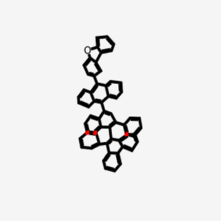 c1ccc(-c2cc(-c3c4ccccc4c(-c4ccc5oc6ccccc6c5c4)c4ccccc34)c3ccccc3c2-c2c(-c3ccccc3)c3ccccc3c3ccccc23)cc1